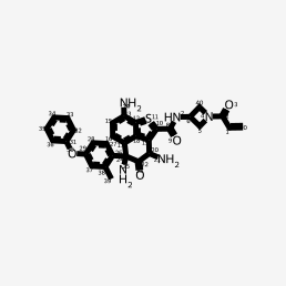 C=CC(=O)N1CC(NC(=O)c2sc3c(N)ccc4c3c2C(N)C(=O)C4(N)c2ccc(Oc3ccccc3)cc2C)C1